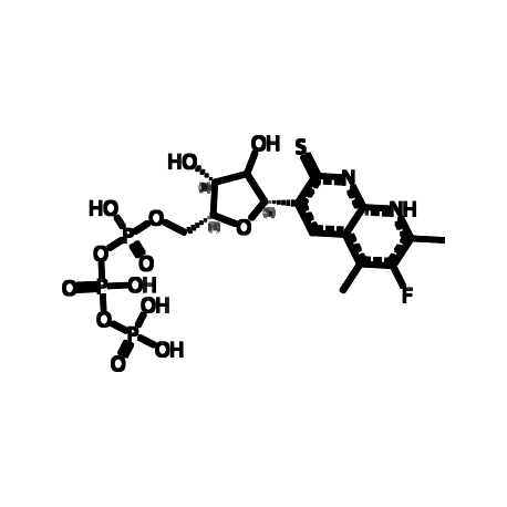 Cc1[nH]c2nc(=S)c([C@@H]3O[C@H](COP(=O)(O)OP(=O)(O)OP(=O)(O)O)[C@H](O)C3O)cc-2c(C)c1F